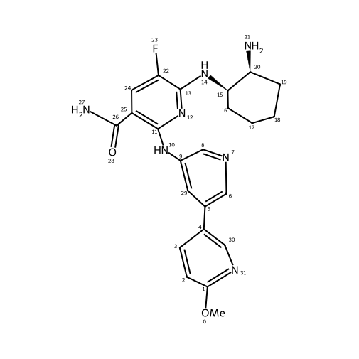 COc1ccc(-c2cncc(Nc3nc(N[C@@H]4CCCC[C@@H]4N)c(F)cc3C(N)=O)c2)cn1